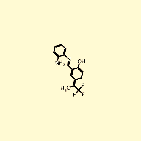 CC(=C1C=C(C=Nc2ccccc2N)C(O)=CC1)C(F)(F)F